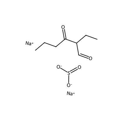 CCCC(=O)C(C=O)CC.O=S([O-])[O-].[Na+].[Na+]